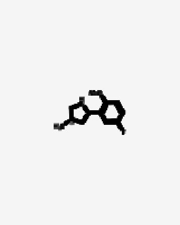 COc1ccc(F)cc1C1C[C@@H](C)CN1